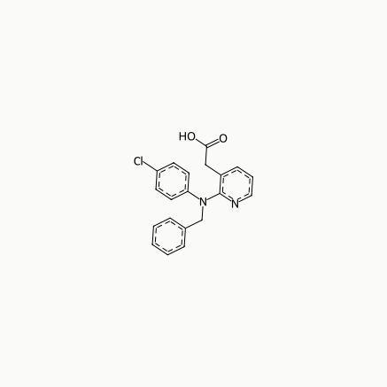 O=C(O)Cc1cccnc1N(Cc1ccccc1)c1ccc(Cl)cc1